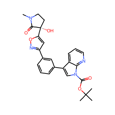 CN1CC[C@@](O)(c2cc(-c3cccc(-c4cn(C(=O)OC(C)(C)C)c5ncccc45)c3)no2)C1=O